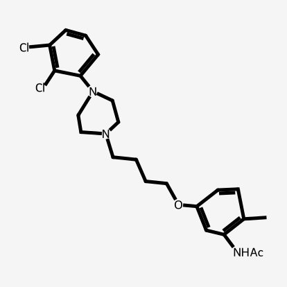 CC(=O)Nc1cc(OCCCCN2CCN(c3cccc(Cl)c3Cl)CC2)ccc1C